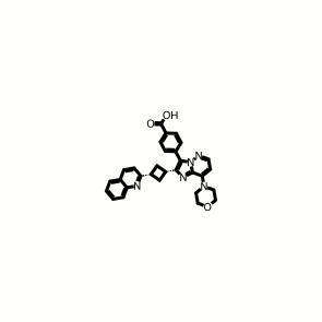 O=C(O)c1ccc(-c2c([C@H]3C[C@@H](c4ccc5ccccc5n4)C3)nc3c(N4CCOCC4)ccnn23)cc1